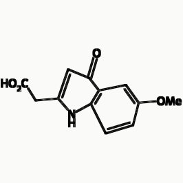 COc1ccc2[nH]c(CC(=O)O)cc(=O)c2c1